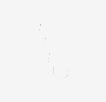 CC(C)OCCCN=C1CCCCC1